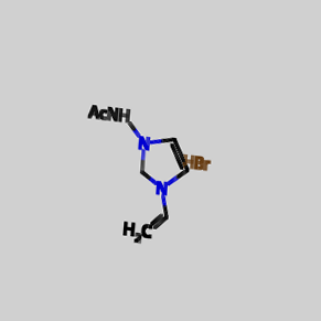 Br.C=CN1C=CN(NC(C)=O)C1